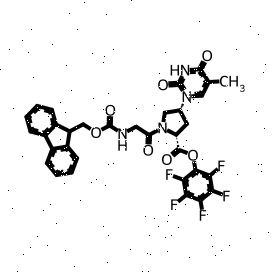 Cc1cn([C@@H]2C[C@H](C(=O)Oc3c(F)c(F)c(F)c(F)c3F)N(C(=O)CNC(=O)OCC3c4ccccc4-c4ccccc43)C2)c(=O)[nH]c1=O